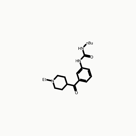 CCCCNC(=O)Nc1cccc(C(=O)C2CCN(CC)CC2)c1